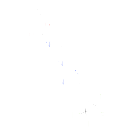 CC(C)(C)OC(=O)N1CCN(c2ncc(C3C(F)(F)C3(F)F)cn2)CC1